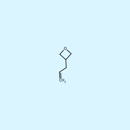 C=CCC1[CH]OC1